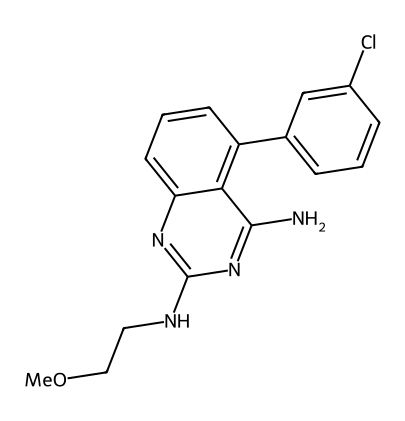 COCCNc1nc(N)c2c(-c3cccc(Cl)c3)cccc2n1